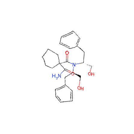 NC(=O)C1(C(=O)N([C@@H](CO)Cc2ccccc2)[C@@H](CO)Cc2ccccc2)CCCCC1